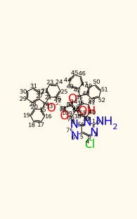 Nc1nc(Cl)c2ncn([C@@H]3O[C@H](COC(c4ccccc4)(c4ccccc4)c4ccccc4)[C@@H](OC(c4ccccc4)(c4ccccc4)c4ccccc4)[C@H]3O)c2n1